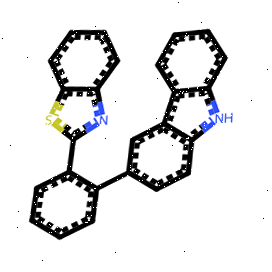 c1ccc(-c2nc3ccccc3s2)c(-c2ccc3[nH]c4ccccc4c3c2)c1